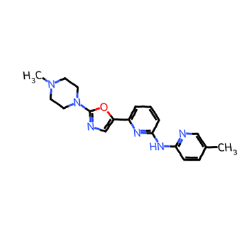 Cc1ccc(Nc2cccc(-c3cnc(N4CCN(C)CC4)o3)n2)nc1